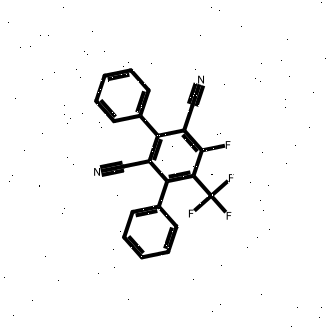 N#Cc1c(F)c(C(F)(F)F)c(-c2ccccc2)c(C#N)c1-c1ccccc1